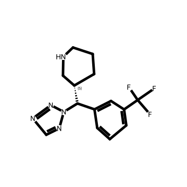 FC(F)(F)c1cccc(C([C@H]2CCCNC2)n2ncnn2)c1